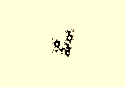 CCN(C(=O)Cn1c(C(=O)NC2CCC(C(=O)O)CC2)cc2sccc21)c1ccc(C)cc1